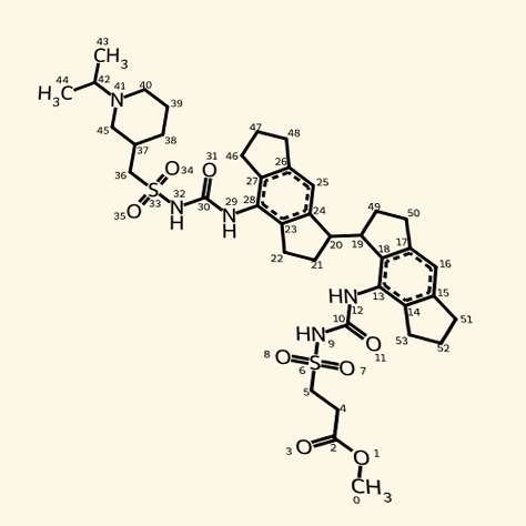 COC(=O)CCS(=O)(=O)NC(=O)Nc1c2c(cc3c1C(C1CCc4c1cc1c(c4NC(=O)NS(=O)(=O)CC4CCCN(C(C)C)C4)CCC1)CC3)CCC2